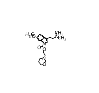 COc1ccc2c(CCN(C)C)cn(C(=O)OCCN3CCCOC3)c2c1